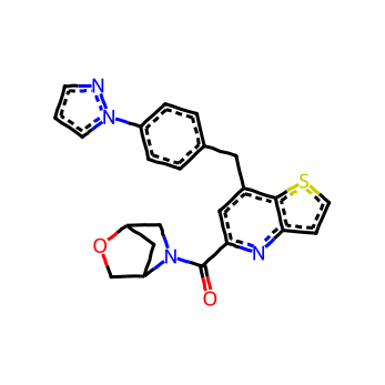 O=C(c1cc(Cc2ccc(-n3cccn3)cc2)c2sccc2n1)N1CC2CC1CO2